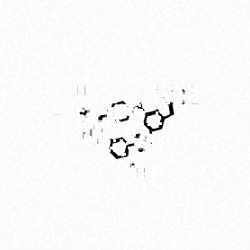 COc1ccc(C)cc1S(=O)(=O)Nc1cc(C(=O)N2CCN(C(=O)OC(C)(C)C)CC2)c2oc([Si](C)(C)C)cc2c1